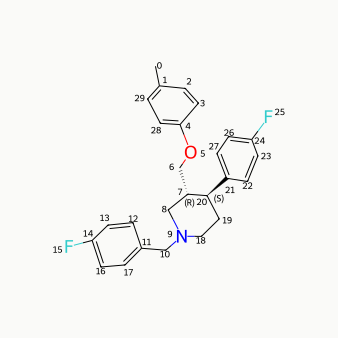 Cc1ccc(OC[C@H]2CN(Cc3ccc(F)cc3)CC[C@@H]2c2ccc(F)cc2)cc1